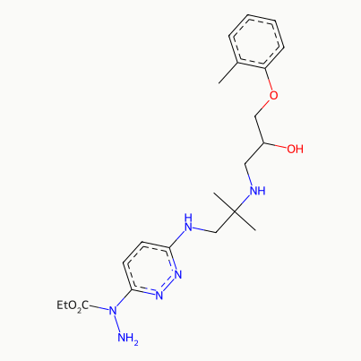 CCOC(=O)N(N)c1ccc(NCC(C)(C)NCC(O)COc2ccccc2C)nn1